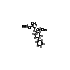 CCCCCCCCCCOC1(CCC(C)OCCCC)C=CC(c2ccccc2)C=C1